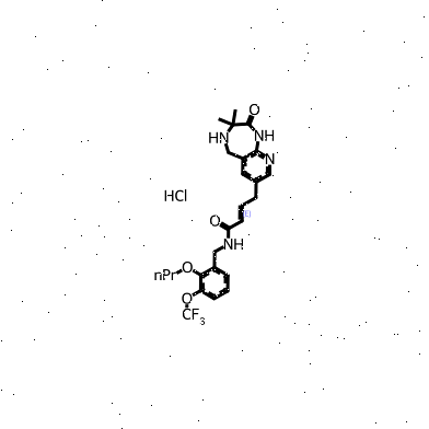 CCCOc1c(CNC(=O)/C=C/Cc2cnc3c(c2)CNC(C)(C)C(=O)N3)cccc1OC(F)(F)F.Cl